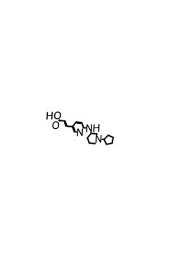 O=C(O)C=Cc1ccc(N[C@@H]2CCCN(C3CCCC3)C2)nc1